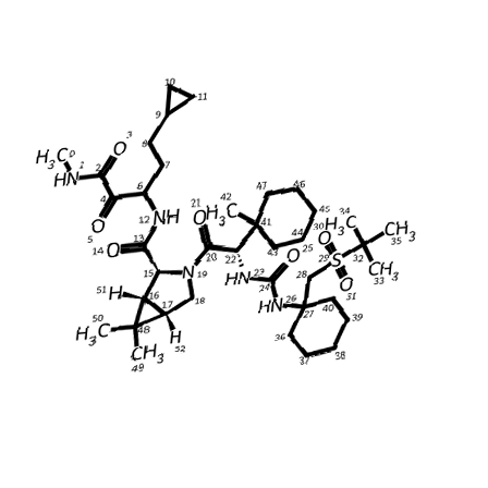 CNC(=O)C(=O)C(CCC1CC1)NC(=O)[C@@H]1[C@@H]2[C@H](CN1C(=O)[C@@H](NC(=O)NC1(CS(=O)(=O)C(C)(C)C)CCCCC1)C1(C)CCCCC1)C2(C)C